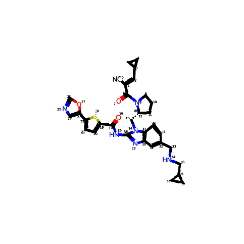 N#CC(=CC1CC1)C(=O)N1CCC[C@@H]1Cn1c(NC(=O)c2ccc(-c3cnco3)s2)nc2cc(CNCC3CC3)ccc21